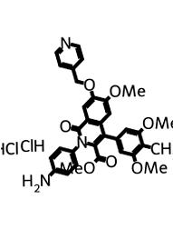 COC(=O)c1c(-c2cc(OC)c(C)c(OC)c2)c2cc(OC)c(OCc3ccncc3)cc2c(=O)n1-c1ccc(N)cc1.Cl.Cl